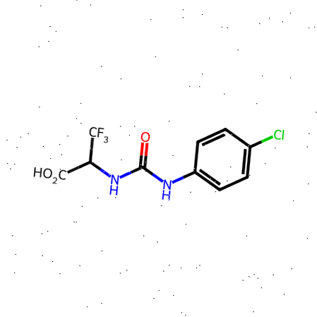 O=C(Nc1ccc(Cl)cc1)NC(C(=O)O)C(F)(F)F